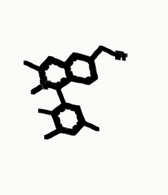 Cc1cc(C)c(C)c(-c2c3ccc(CC(C)C)cc3cc(C)[n+]2C)c1